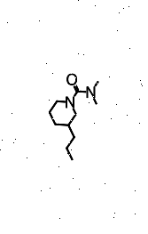 CCCC1CCCN(C(=O)N(C)C)C1